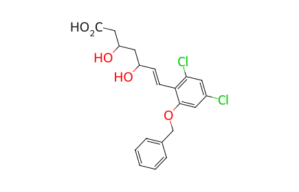 O=C(O)CC(O)CC(O)/C=C/c1c(Cl)cc(Cl)cc1OCc1ccccc1